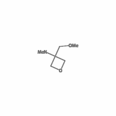 CNC1(COC)COC1